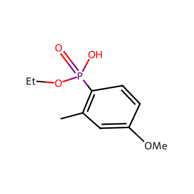 CCOP(=O)(O)c1ccc(OC)cc1C